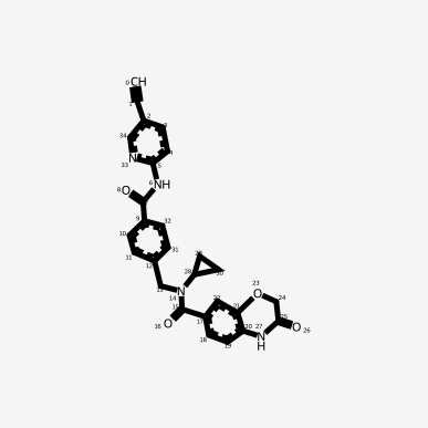 C#Cc1ccc(NC(=O)c2ccc(CN(C(=O)c3ccc4c(c3)OCC(=O)N4)C3CC3)cc2)nc1